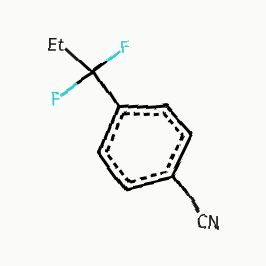 CCC(F)(F)c1ccc(C#N)cc1